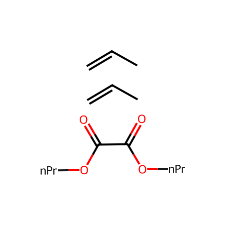 C=CC.C=CC.CCCOC(=O)C(=O)OCCC